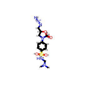 CN(C)CNS(=O)(=O)c1ccc(N2CC(CN=[N+]=[N-])OC2=O)cc1